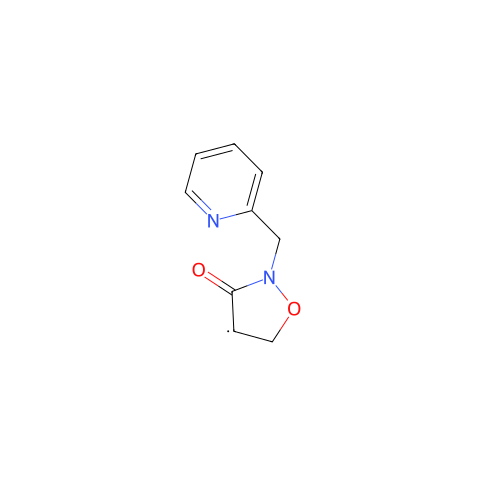 O=C1[CH]CON1Cc1ccccn1